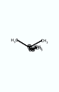 CCCCCCCCCCCCCCCC(=O)OC(C(=O)CCCCCCCCCCCCCCC)[C@H](COP(=O)([O-])OCC[N+](C)(C)C)OO